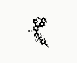 Cn1ccc(-c2nc(N)c(-c3cn(C(C)(C)c4ccc(C#N)cn4)nn3)nc2-c2ccc3ncccc3c2)n1